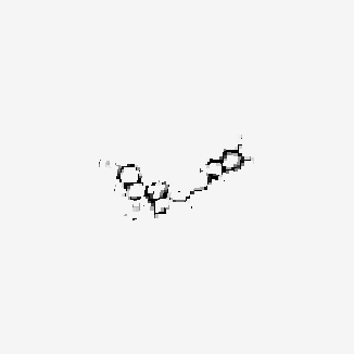 C[C@H](CCc1ncc2cc(F)c(F)cc2n1)[C@H]1CC[C@H]2[C@H]3C(CC[C@]12C)[C@@]1(C)CC[C@@H](O)C[C@H]1C[C@@H]3O